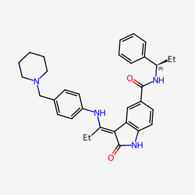 CCC(Nc1ccc(CN2CCCCC2)cc1)=C1C(=O)Nc2ccc(C(=O)N[C@H](CC)c3ccccc3)cc21